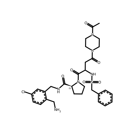 CC(=O)N1CCN(C(=O)CC(NS(=O)(=O)Cc2ccccc2)C(=O)N2CCC[C@H]2C(=O)NCc2cc(Cl)ccc2CN)CC1